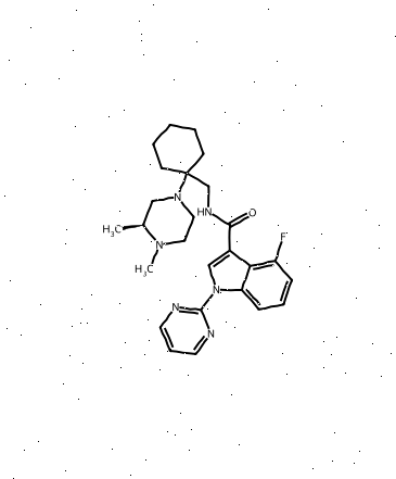 C[C@H]1CN(C2(CNC(=O)c3cn(-c4ncccn4)c4cccc(F)c34)CCCCC2)CCN1C